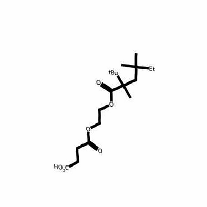 CCC(C)(C)CC(C)(C(=O)OCCOC(=O)CCC(=O)O)C(C)(C)C